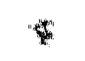 CC(C)C(NC(=O)[C@H](CS(=O)(=O)O)NC(=O)CCCCCN1C(=O)CC(C(C)(C)C)C1=O)C(=O)N[C@@H](CCCNC(N)=O)C(=O)Nc1ccc(COC(=O)C(C)(C)C)cc1